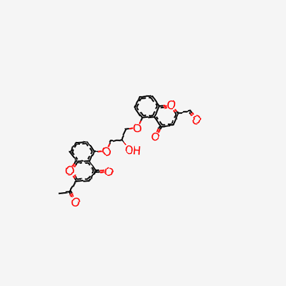 CC(=O)c1cc(=O)c2c(OCC(O)COc3cccc4oc(C=O)cc(=O)c34)cccc2o1